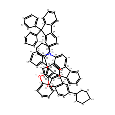 c1ccc(C2(c3ccccc3)c3ccccc3-c3ccc(N(c4ccc5c(c4)C4(c6cc(C7CCCCC7)ccc6Oc6ccc(C7CCCCC7)cc64)c4ccccc4-5)c4ccccc4-c4cccc5c4oc4ccccc45)cc32)cc1